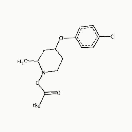 CC1CC(Oc2ccc(Cl)cc2)CCN1OC(=O)C(C)(C)C